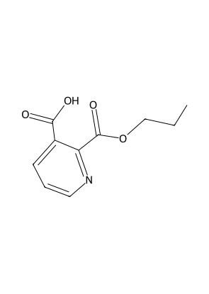 CCCOC(=O)c1ncccc1C(=O)O